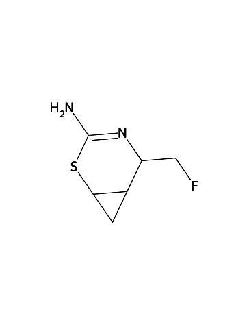 NC1=NC(CF)C2CC2S1